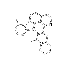 Cc1c2ccccc2cc2c3nccc4ccc5c6c(I)cccc6n(c12)c5c43